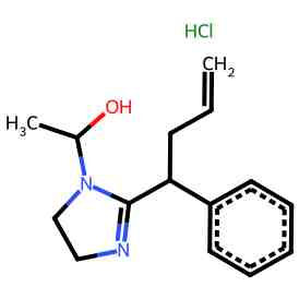 C=CCC(C1=NCCN1C(C)O)c1ccccc1.Cl